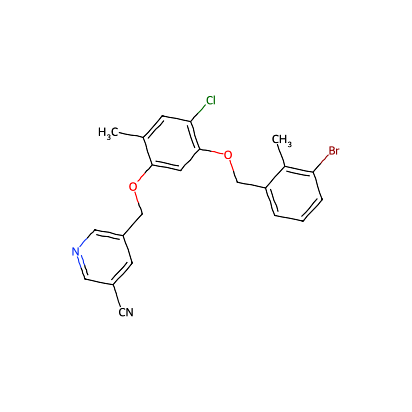 Cc1cc(Cl)c(OCc2cccc(Br)c2C)cc1OCc1cncc(C#N)c1